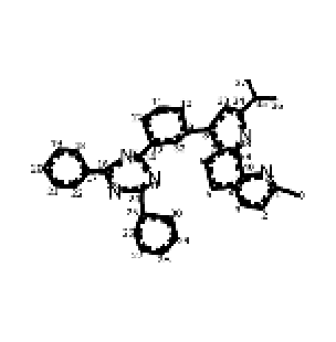 Cc1ccc2ccc3c(-c4cccc(-c5nc(-c6ccccc6)nc(-c6ccccc6)n5)c4)cc(C(C)C)nc3c2n1